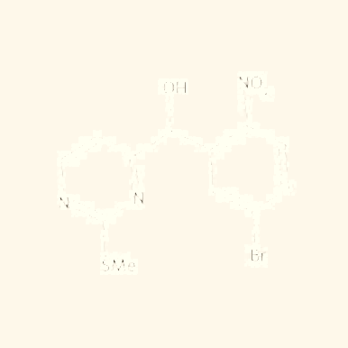 CSc1nccc(C(O)c2cc(Br)ccc2[N+](=O)[O-])n1